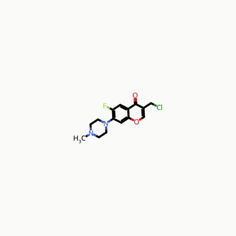 CN1CCN(c2cc3occ(CCl)c(=O)c3cc2F)CC1